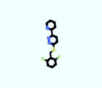 Fc1cccc(F)c1CSc1ccc(-c2ccccn2)nn1